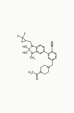 CC(=O)N1CCN(Cc2ccc(C#N)c(-c3ccc4c(c3)N(C)S(O)(O)N4CC3CC3(F)F)c2)CC1